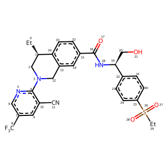 CC[C@@H]1CN(c2ncc(C(F)(F)F)cc2C#N)Cc2cc(C(=O)N[C@@H](CO)c3ccc(S(=O)(=O)CC)cc3)ccc21